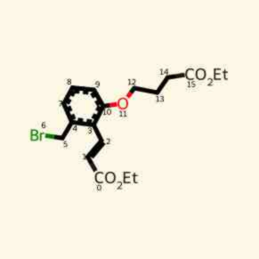 CCOC(=O)/C=C/c1c(CBr)cccc1OCCCC(=O)OCC